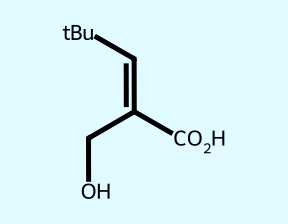 CC(C)(C)C=C(CO)C(=O)O